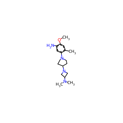 COc1cc(C)c(N2CCC(N3CC(N(C)C)C3)CC2)cc1N